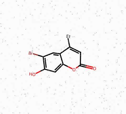 CCc1cc(=O)oc2cc(O)c(Br)cc12